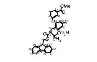 COC(=O)c1cccc(Oc2cc(Cl)ccc2CN(C(=O)OCC2c3ccccc3-c3ccccc32)C(C)C(=O)O)c1